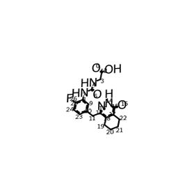 O=C(O)CNC(=O)Nc1cc(Cc2n[nH]c(=O)c3c2CCCC3)ccc1F